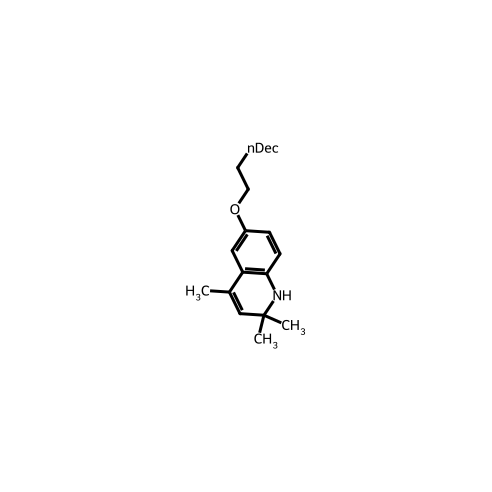 CCCCCCCCCCCCOc1ccc2c(c1)C(C)=CC(C)(C)N2